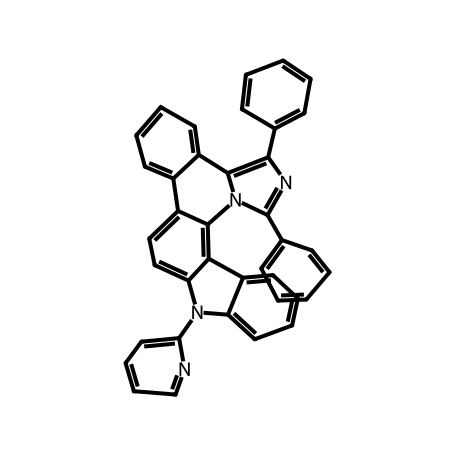 c1ccc(-c2nc(-c3ccccc3)n3c2c2ccccc2c2ccc4c(c5ccccc5n4-c4ccccn4)c23)cc1